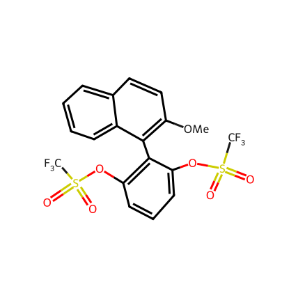 COc1ccc2ccccc2c1-c1c(OS(=O)(=O)C(F)(F)F)cccc1OS(=O)(=O)C(F)(F)F